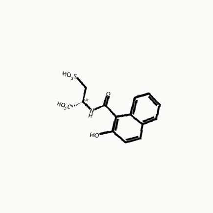 O=C(N[C@@H](CS(=O)(=O)O)C(=O)O)c1c(O)ccc2ccccc12